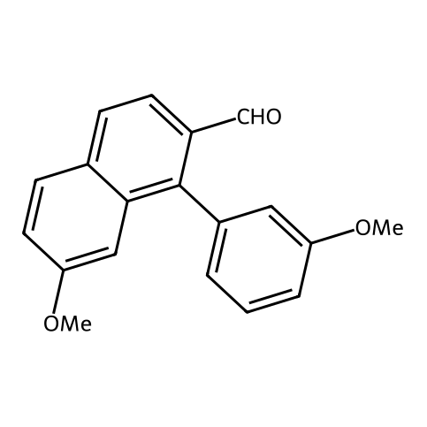 COc1cccc(-c2c(C=O)ccc3ccc(OC)cc23)c1